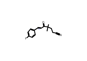 CC(C)(CCC#N)C(=O)/C=C/c1ccc(F)cc1